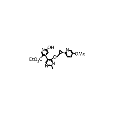 CCOC(=O)c1cnc(O)cc1-c1cnc(C)nc1OCC1C[C@H]1c1ccc(OC)cn1